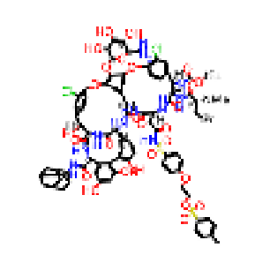 CN[C@H](CC(C)C)C(=O)N[C@H]1C(=O)N[C@@H](CC(=O)NS(=O)(=O)c2ccc(OCCOS(=O)(=O)c3ccc(C)cc3)cc2)C(=O)N[C@H]2C(=O)N[C@H]3C(=O)N[C@H](C(=O)N[C@H](C(=O)NC4C5CC6CC(C5)CC4C6)c4cc(O)cc(O)c4-c4cc3ccc4O)[C@H](O)c3ccc(c(Cl)c3)Oc3cc2cc(c3O[C@@H]2O[C@H](CN)[C@@H](O)[C@H](O)[C@H]2O)Oc2ccc(cc2Cl)[C@H]1NC(=O)OC(C)(C)C